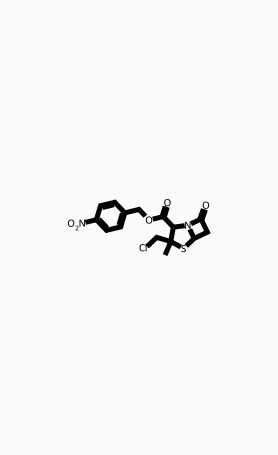 CC1(CCl)SC2CC(=O)N2C1C(=O)OCc1ccc([N+](=O)[O-])cc1